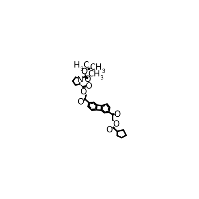 CC(C)(C)OC(=O)N1CCC[C@@H]1C(=O)OCC(=O)c1ccc2c(c1)-c1ccc(C(=O)COC(=O)C3CCCC3)cc1-2